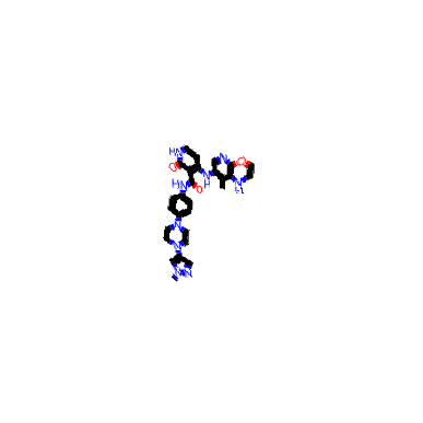 Cc1c(Nc2cc[nH]c(=O)c2C(=O)Nc2ccc(N3CCN(c4cnn(C)c4)CC3)cc2)cnc2c1NCCO2